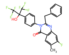 Cc1cc2c(=O)n(-c3ccc(C(O)(C(F)(F)F)C(F)(F)F)cc3)c(Cc3ccccc3)nc2cc1F